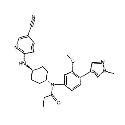 CCC(=O)N(c1ccc(-c2cnn(C)c2)c(OC)c1)[C@H]1CC[C@H](Nc2ccc(C#N)cn2)CC1